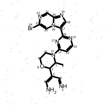 CC1C(/C(C=N)=C/N)OCCN1c1ccnc(-c2cnc3cnc(Br)cn23)n1